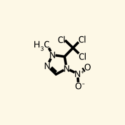 CN1N=CN([N+](=O)[O-])C1C(Cl)(Cl)Cl